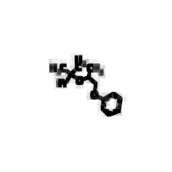 CC(COc1ccccc1)OC(C)(C)C(C)C